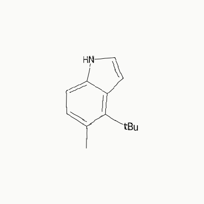 Cc1ccc2[nH]ccc2c1C(C)(C)C